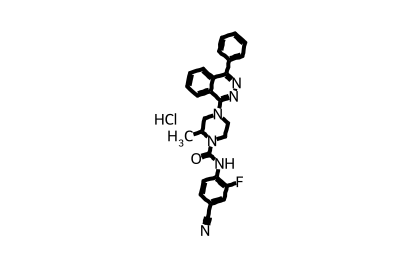 CC1CN(c2nnc(-c3ccccc3)c3ccccc23)CCN1C(=O)Nc1ccc(C#N)cc1F.Cl